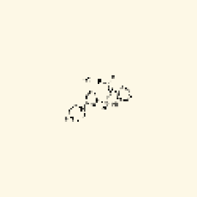 Cl.O=S(=O)(Nc1ccccc1OC(F)F)c1cccc(N2CCNCC2)c1